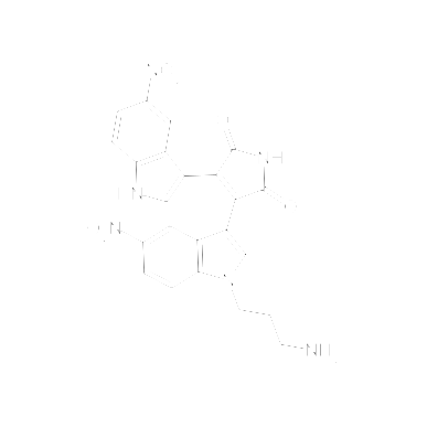 NCCCn1cc(C2=C(c3c[nH]c4ccc([N+](=O)[O-])cc34)C(=O)NC2=O)c2cc([N+](=O)[O-])ccc21